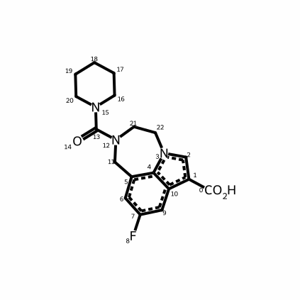 O=C(O)c1cn2c3c(cc(F)cc13)CN(C(=O)N1CCCCC1)CC2